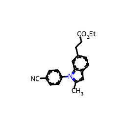 CCOC(=O)CCc1ccc2cc(C)n(-c3ccc(C#N)cc3)c2c1